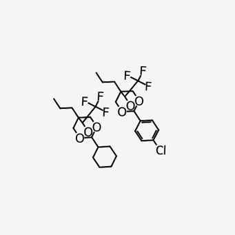 CCCC12COC(C3CCCCC3)(OC1)OC2C(F)(F)F.CCCC12COC(c3ccc(Cl)cc3)(OC1)OC2C(F)(F)F